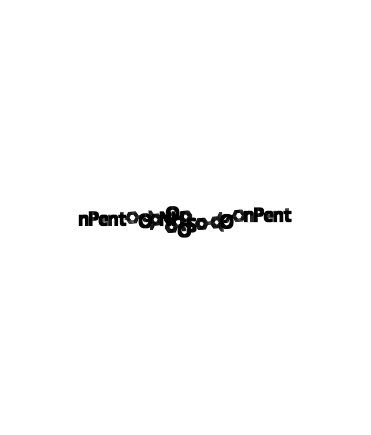 CCCCCC1CCC(COc2c(C)cc(Nc3cccc4c3C(=O)c3cccc(Sc5ccc(-c6cc(C)c(OCC7CCC(CCCCC)CC7)c(C)c6)cc5)c3C4=O)cc2C)CC1